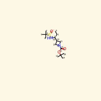 CC[C@H](N[S+]([O-])C(C)(C)C)C1CN(C(=O)OC(C)(C)C)C1